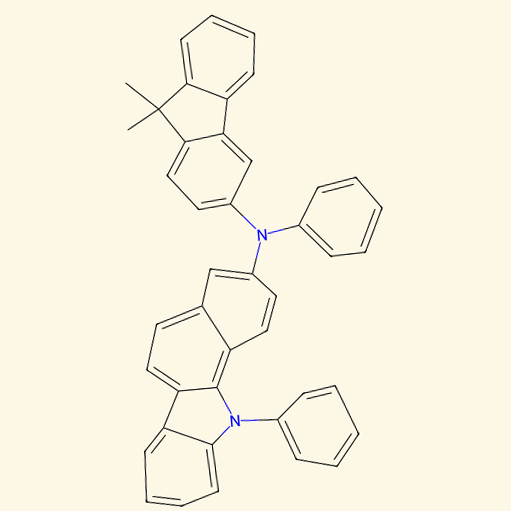 CC1(C)c2ccccc2-c2cc(N(c3ccccc3)c3ccc4c(ccc5c6ccccc6n(-c6ccccc6)c45)c3)ccc21